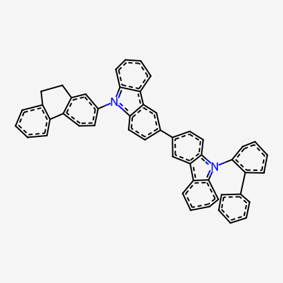 c1ccc(-c2ccccc2-n2c3ccccc3c3cc(-c4ccc5c(c4)c4ccccc4n5-c4ccc5c(c4)CCc4ccccc4-5)ccc32)cc1